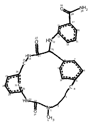 CN1CCCc2ccc(cc2)C(Nc2cccc(C(N)=O)c2)C(=O)NCc2cccc(c2)NC1=O